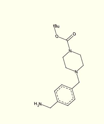 CC(C)(C)OC(=O)N1CCN(Cc2ccc(CN)cc2)CC1